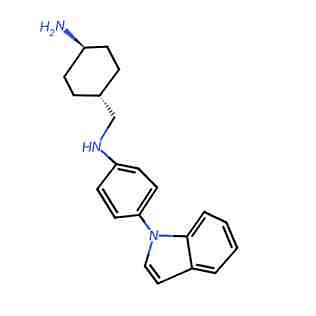 N[C@H]1CC[C@H](CNc2ccc(-n3ccc4ccccc43)cc2)CC1